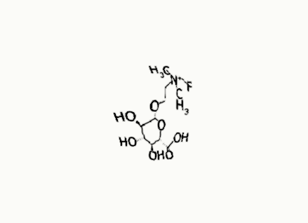 C[N+](C)(CF)CCO[C@@H]1O[C@H](C(=O)O)[C@@H](O)[C@H](O)[C@H]1O